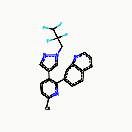 N#Cc1ccc(-c2cnn(CC(F)(F)C(F)F)c2)c(-c2ccc3cccnc3c2)n1